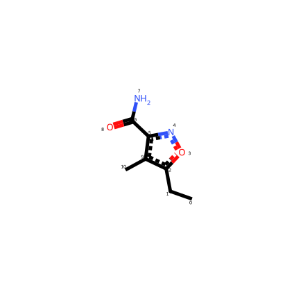 CCc1onc(C(N)=O)c1C